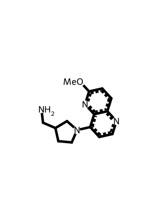 COc1ccc2nccc(N3CCC(CN)C3)c2n1